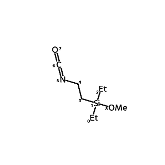 CC[Si](CC)(CCN=C=O)OC